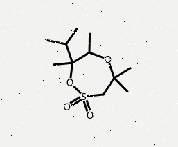 CC(C)C1(C)OS(=O)(=O)CC(C)(C)OC1C